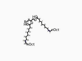 CCCCCCCC/C=C\CCCCCCCC(O)OCC(CBr)OC(O)CCCCCCC/C=C\CCCCCCCC